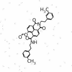 Cc1cccc(CCNC(=O)c2ccc3c4c(ccc(OC=O)c24)C(=O)N(CCc2cccc(C)c2)C3=O)c1